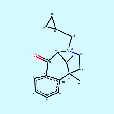 CC1C2C(=O)c3ccccc3C1(C)CCN2CC1CC1